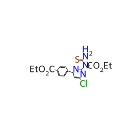 CCOC(=O)c1ccc(-c2cc(Cl)nc(N(C(=O)OCC)C(N)=S)n2)cc1